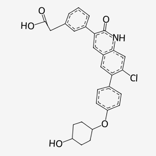 O=C(O)Cc1cccc(-c2cc3cc(-c4ccc(OC5CCC(O)CC5)cc4)c(Cl)cc3[nH]c2=O)c1